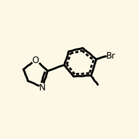 Cc1cc(C2=NCCO2)ccc1Br